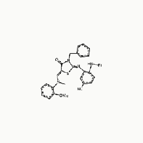 CCNc1ccc(C#N)cc1N=C1SC(=CN(C)c2ccccc2OC)C(=O)N1Cc1ccccc1